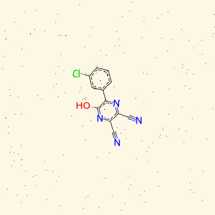 N#Cc1nc(O)c(-c2cccc(Cl)c2)nc1C#N